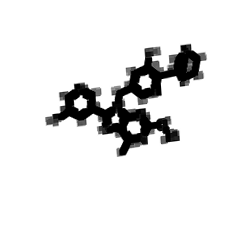 CCOc1nc(C)c2nc(-c3cncc(F)c3)n(Cc3cnc(C4=CN5CCC4CC5)c(F)c3)c2n1